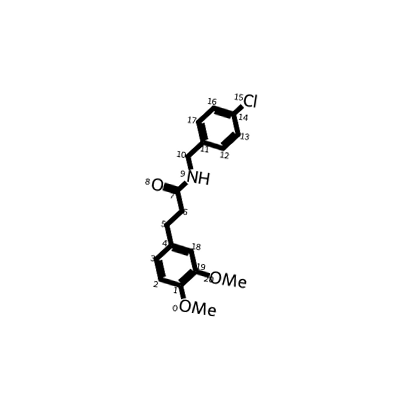 COc1ccc(CCC(=O)NCc2ccc(Cl)cc2)cc1OC